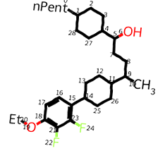 CCCCCC1CCC(C(O)CCC(C)C2CCC(c3ccc(OCC)c(F)c3F)CC2)CC1